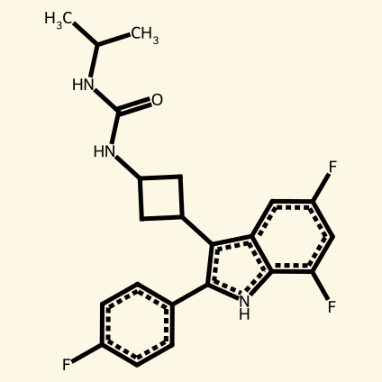 CC(C)NC(=O)NC1CC(c2c(-c3ccc(F)cc3)[nH]c3c(F)cc(F)cc23)C1